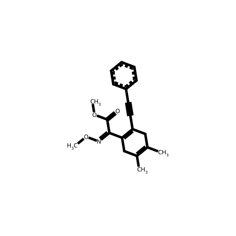 CO/N=C(\C(=O)OC)C1=C(C#Cc2ccccc2)CC(C)=C(C)C1